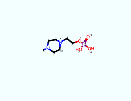 CN1CCN(CCOP(=O)(O)O)CC1